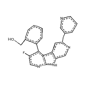 OCc1ccccc1-c1c(F)cnc2[nH]c3cnc(-c4cccnc4)cc3c12